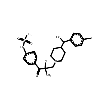 CC(C)(CN1CCC(C(O)c2ccc(F)cc2)CC1)C(=O)c1ccc(NS(C)(=O)=O)cc1